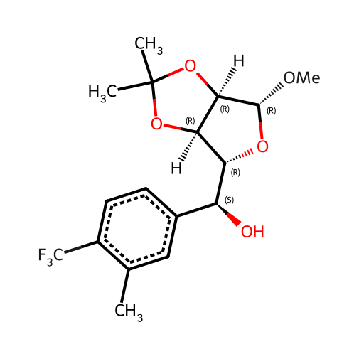 CO[C@@H]1O[C@H]([C@@H](O)c2ccc(C(F)(F)F)c(C)c2)[C@H]2OC(C)(C)O[C@@H]12